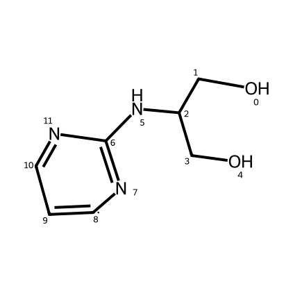 OCC(CO)Nc1n[c]ccn1